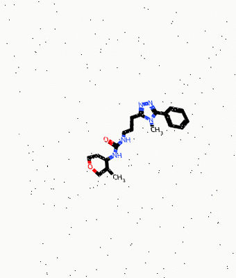 CC1COCCC1NC(=O)NCCCc1nnc(-c2ccccc2)n1C